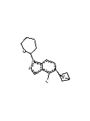 Clc1c(C23CC(C2)C3)ccc2c1cnn2C1CCCCO1